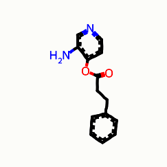 Nc1cnccc1OC(=O)CCc1ccccc1